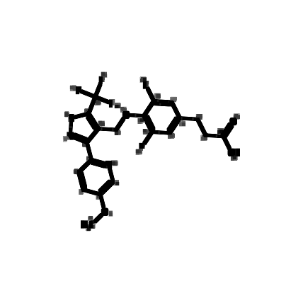 COc1ccc(-c2nsc(C(F)(F)F)c2COc2c(F)cc(CCC(=O)O)cc2F)nc1